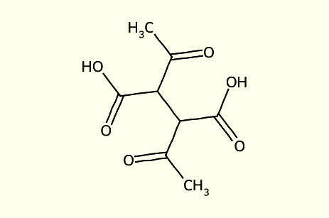 CC(=O)C(C(=O)O)C(C(C)=O)C(=O)O